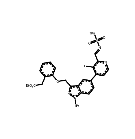 CCOC(=O)Cc1ccccc1OCc1nn(C(C)C)c2ccc(-c3ccnc(C=NS(=O)(=O)C(C)(C)C)c3F)cc12